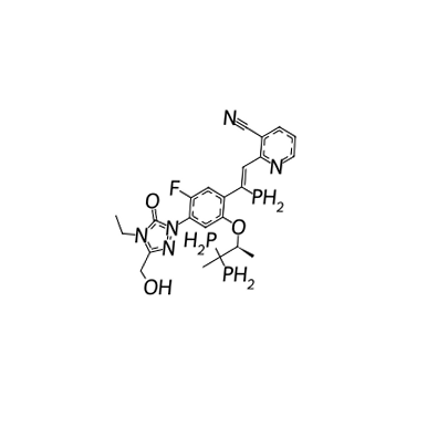 CCn1c(CO)nn(-c2cc(O[C@@H](C)C(C)(P)P)c(/C(P)=C/c3ncccc3C#N)cc2F)c1=O